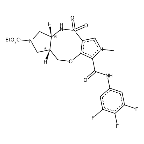 CCOC(=O)N1C[C@H]2COc3c(cn(C)c3C(=O)Nc3cc(F)c(F)c(F)c3)S(=O)(=O)N[C@H]2C1